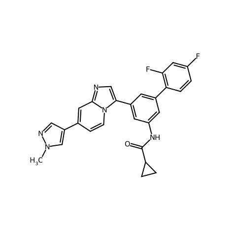 Cn1cc(-c2ccn3c(-c4cc(NC(=O)C5CC5)cc(-c5ccc(F)cc5F)c4)cnc3c2)cn1